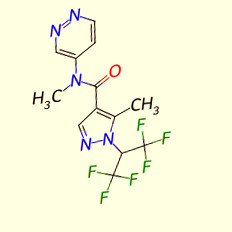 Cc1c(C(=O)N(C)c2ccnnc2)cnn1C(C(F)(F)F)C(F)(F)F